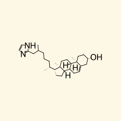 CC(CCC[C@@H](C)[C@H]1CC[C@H]2[C@@H]3CC=C4C[C@@H](O)CC[C@]4(C)[C@H]3CC[C@]12C)Cc1ncc[nH]1